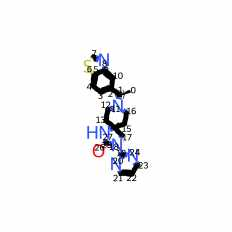 C[C@H](c1ccc2scnc2c1)N1CCC2(CC1)CN(c1ncccn1)C(=O)N2